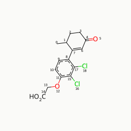 CC1CCC(=O)C=C1c1ccc(OCC(=O)O)c(Cl)c1Cl